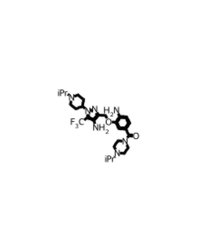 CC(C)N1CCC(n2nc(COc3cc(C(=O)N4CCN(C(C)C)CC4)ccc3N)c(N)c2C(F)(F)F)CC1